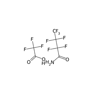 NC(=O)C(F)(F)C(F)(F)C(F)(F)F.O=C(O)C(F)(F)F